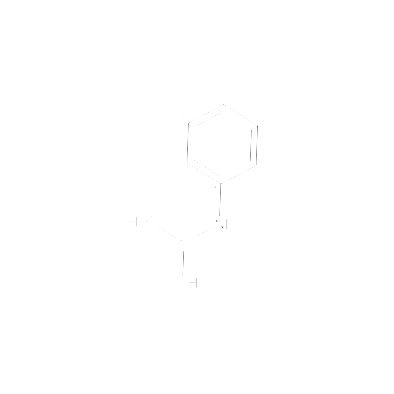 C[S+](C)Nc1ccccc1